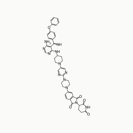 N=C(c1ccc(Oc2ccccc2)cc1)c1c(N)ncnc1NC1CCN(c2cnc(N3CCN(c4ccc5c(c4)C(=O)N(C4CCC(=O)NC4=O)C5=O)CC3)nc2)CC1